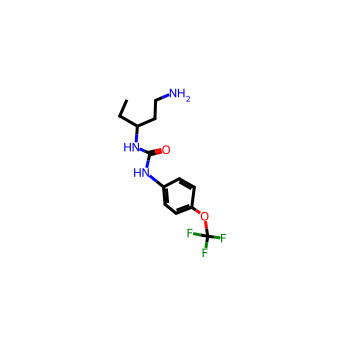 CCC(CCN)NC(=O)Nc1ccc(OC(F)(F)F)cc1